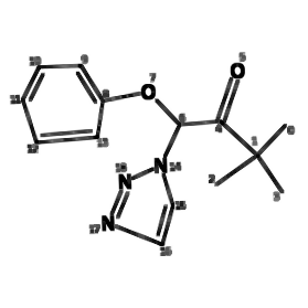 CC(C)(C)C(=O)C(Oc1ccccc1)n1ccnn1